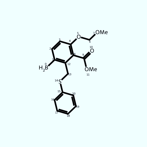 Bc1ccc(OCOC)c(C(=O)OC)c1CSc1ccccc1